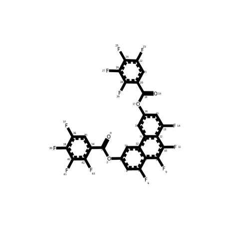 O=C(Oc1cc(F)c2c(F)c(F)c3c(F)cc(OC(=O)c4cc(F)c(F)c(F)c4F)cc3c2c1)c1cc(F)c(F)c(F)c1F